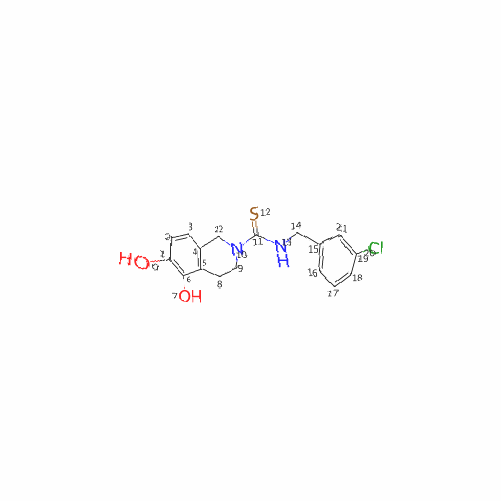 Oc1ccc2c(c1O)CCN(C(=S)NCc1cccc(Cl)c1)C2